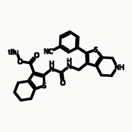 CC(C)(C)OC(=O)c1c(NC(=O)NCc2c(-c3cccc(C#N)c3)sc3c2CCNC3)sc2c1CCCC2